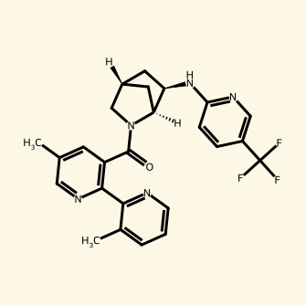 Cc1cnc(-c2ncccc2C)c(C(=O)N2C[C@@H]3C[C@@H](Nc4ccc(C(F)(F)F)cn4)[C@@H]2C3)c1